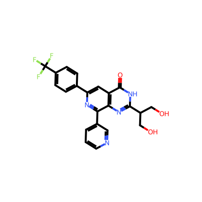 O=c1[nH]c(C(CO)CO)nc2c(-c3cccnc3)nc(-c3ccc(C(F)(F)F)cc3)cc12